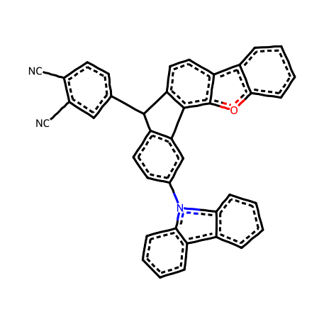 N#Cc1ccc(C2c3ccc(-n4c5ccccc5c5ccccc54)cc3-c3c2ccc2c3oc3ccccc32)cc1C#N